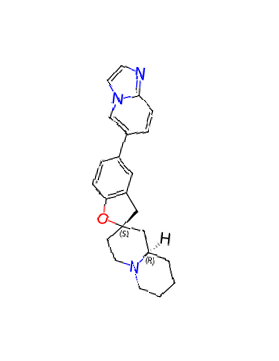 c1cn2cc(-c3ccc4c(c3)C[C@@]3(CCN5CCCC[C@@H]5C3)O4)ccc2n1